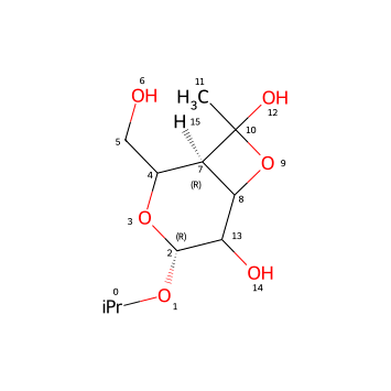 CC(C)O[C@@H]1OC(CO)[C@@H]2C(OC2(C)O)C1O